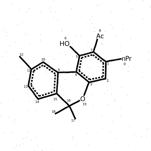 CCCc1cc2c(c(O)c1C(C)=O)-c1cc(C)ccc1C(C)(C)O2